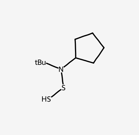 CC(C)(C)N(SS)C1CCCC1